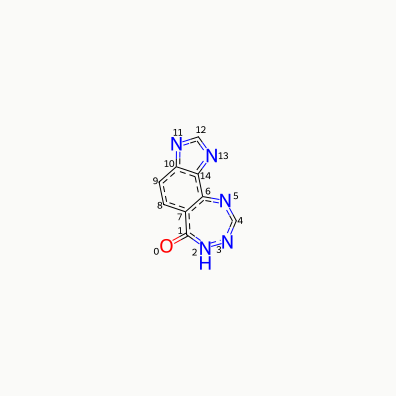 O=c1[nH]ncnc2c1ccc1ncnc12